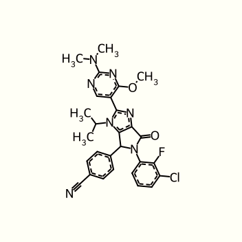 COc1nc(N(C)C)ncc1-c1nc2c(n1C(C)C)C(c1ccc(C#N)cc1)N(c1cccc(Cl)c1F)C2=O